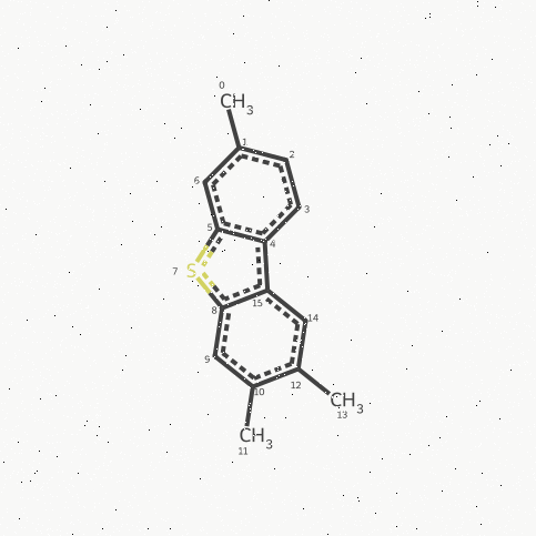 Cc1ccc2c(c1)sc1cc(C)c(C)cc12